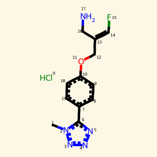 Cl.Cn1nnnc1-c1ccc(OC/C(=C/F)CN)cc1